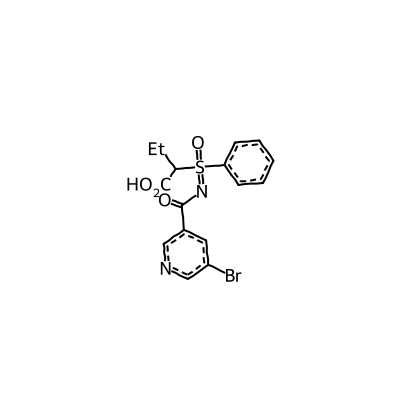 CCC(C(=O)O)S(=O)(=NC(=O)c1cncc(Br)c1)c1ccccc1